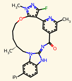 Cc1cc2cc(n1)-c1c(F)nn(C)c1OCCC[C@@H](C)CN1/C(=N/C2=O)Nc2ccc(C(C)C)cc21